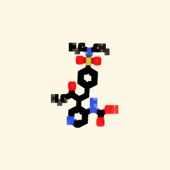 CC(=O)C(Cc1ccc(S(=O)(=O)N(C)C)cc1)c1cnccc1NC(=O)O